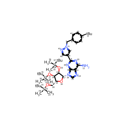 CC(C)(C)c1ccc(Cn2cc(-c3nc(N)c4ncn([C@@H]5O[C@H](CO[Si](C)(C)C(C)(C)C)[C@@H](O[Si](C)(C)C(C)(C)C)[C@H]5O[Si](C)(C)C(C)(C)C)c4n3)cn2)cc1